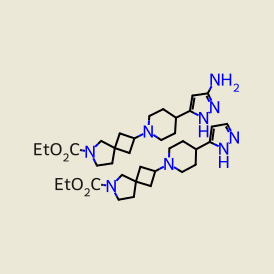 CCOC(=O)N1CCC2(CC(N3CCC(c4cc(N)n[nH]4)CC3)C2)C1.CCOC(=O)N1CCC2(CC(N3CCC(c4ccn[nH]4)CC3)C2)C1